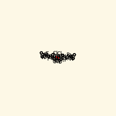 CC(C)(C)c1c(-c2cc(Cl)ccc2Oc2cc(F)c(S(=O)(=O)N(Cc3ccccc3)c3ncccn3)cc2F)ccc2onc(N(C(=O)O)c3noc4ccc(-c5cc(Cl)ccc5Oc5cc(F)c(S(=O)(=O)N(Cc6ccccc6)c6ncccn6)cc5F)c(C(C)(C)C)c34)c12